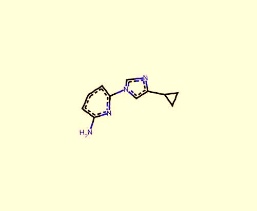 Nc1cccc(-n2cnc(C3CC3)c2)n1